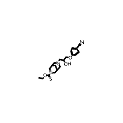 CCOC(=S)N1CC2CC(CN(CC(O)COc3ccc(C#N)cc3)C2)C1